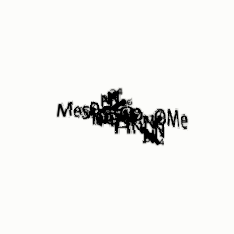 COc1nc(C)nc(NC(=O)NS(=O)(=O)c2c(-c3nnc(SC)o3)nn(C)c2C)n1